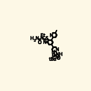 CCN(C(N)=O)c1nc2cc(-c3cnc(NS(=O)(=O)C(C)(C)C)nc3)cc(-c3ccc(C)cn3)c2s1